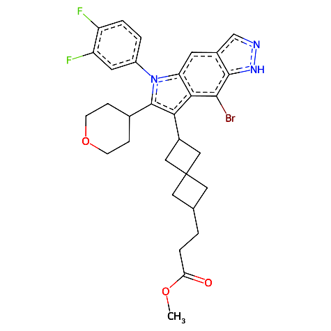 COC(=O)CCC1CC2(C1)CC(c1c(C3CCOCC3)n(-c3ccc(F)c(F)c3)c3cc4cn[nH]c4c(Br)c13)C2